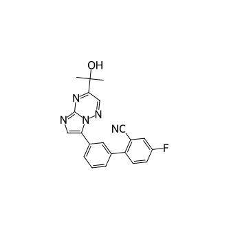 CC(C)(O)c1cnn2c(-c3cccc(-c4ccc(F)cc4C#N)c3)cnc2n1